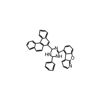 c1ccc(C2NC(c3cccc4oc5ncccc5c34)=NC(c3cc4ccccc4c4c3ccc3ccccc34)N2)cc1